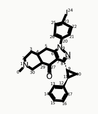 CN1CCC2Cc3c(c([C@@H]4C[C@H]4c4ccccc4)nn3-c3ccc(I)cc3)C(=O)C2C1